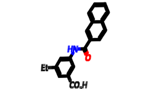 CCc1cc(NC(=O)c2ccc3ccccc3c2)cc(C(=O)O)c1